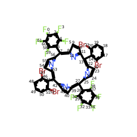 Fc1c(F)c(F)c(C2=C3C=CC(=N3)C(c3c(Br)cccc3Br)=C3C=CC(=N3)C(c3c(F)c(F)c(F)c(F)c3F)=C3C=CC(=N3)C(c3c(Br)cccc3Br)=C3C=CC2=N3)c(F)c1F